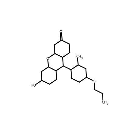 CCCOC1CCC(C2C3CCC(=O)CC3OC3CC(O)CCC32)C(C)C1